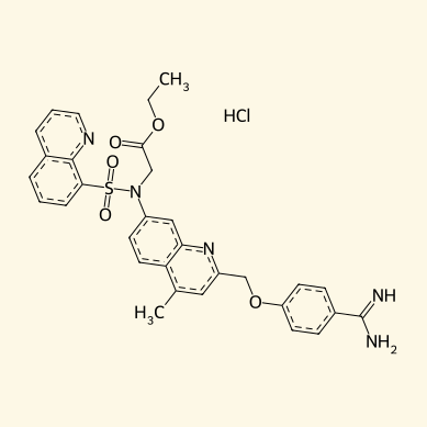 CCOC(=O)CN(c1ccc2c(C)cc(COc3ccc(C(=N)N)cc3)nc2c1)S(=O)(=O)c1cccc2cccnc12.Cl